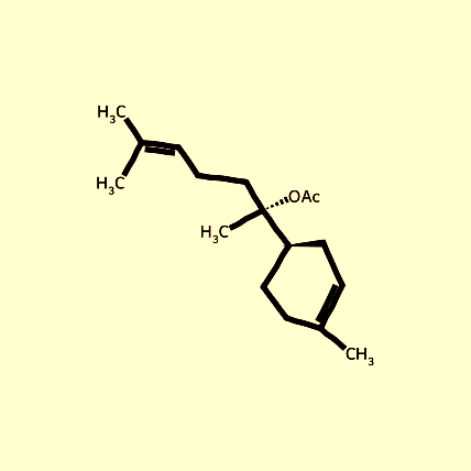 CC(=O)O[C@](C)(CCC=C(C)C)[C@H]1CC=C(C)CC1